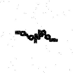 COc1ccc(-c2cccc3[nH]c(OC(=O)NC4CCN(CCN5CCC(O)CC5)CC4)cc23)cc1